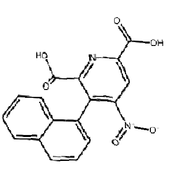 O=C(O)c1cc([N+](=O)[O-])c(-c2cccc3ccccc23)c(C(=O)O)n1